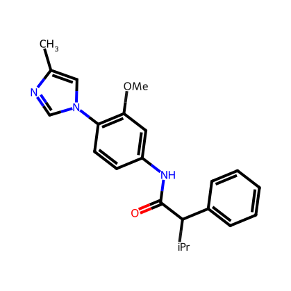 COc1cc(NC(=O)C(c2ccccc2)C(C)C)ccc1-n1cnc(C)c1